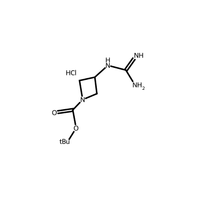 CC(C)(C)OC(=O)N1CC(NC(=N)N)C1.Cl